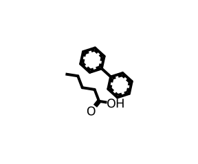 CCCCC(=O)O.c1ccc(-c2ccccc2)cc1